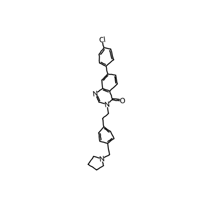 O=c1c2ccc(-c3ccc(Cl)cc3)cc2ncn1CCc1ccc(CN2CCCC2)cc1